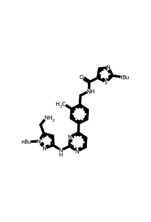 CCCCn1nc(Nc2nccc(-c3ccc(CNC(=O)c4cnc(C(C)(C)C)s4)c(C)c3)n2)cc1CN